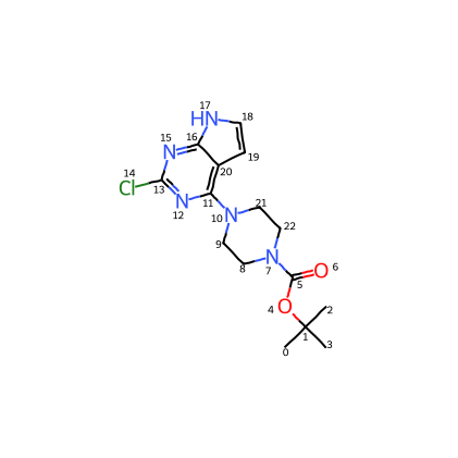 CC(C)(C)OC(=O)N1CCN(c2nc(Cl)nc3[nH]ccc23)CC1